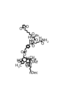 CCCCCCCCCCCCCC(=O)O[C@H]1[C@H](C)C2C3C=C(C)C(=O)[C@]3(O)CC(COC(=O)OCc3ccc(NC(=O)[C@H](CCCNC(N)=O)NC(=O)[C@@H](NC(=O)CCCCCN4C(=O)C=CC4=O)C(C)C)cc3)=C[C@@H]2C2C(C)(C)[C@]21OC(C)=O